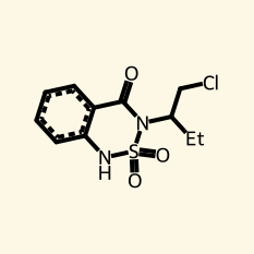 CCC(CCl)N1C(=O)c2ccccc2NS1(=O)=O